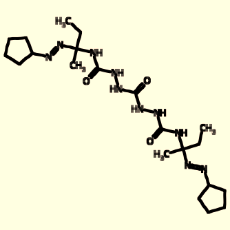 CCC(C)(N=NC1CCCC1)NC(=O)NNC(=O)NNC(=O)NC(C)(CC)N=NC1CCCC1